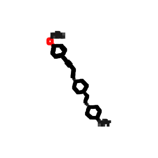 CCCCOc1ccc(C#CC=C[C@H]2CC[C@H](CC[C@H]3CC[C@H](CCC)CC3)CC2)cc1